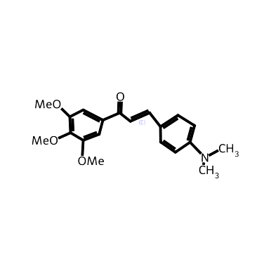 COc1cc(C(=O)/C=C/c2ccc(N(C)C)cc2)cc(OC)c1OC